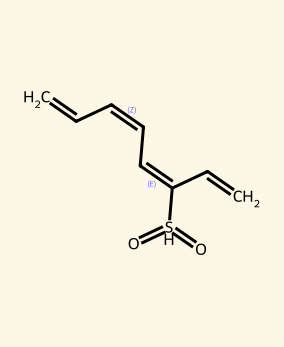 C=C/C=C\C=C(/C=C)[SH](=O)=O